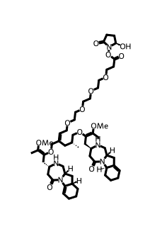 CO/C(C)=C(/C[C@H]1CC(=O)N2C3=CCCC[C@H]3C[C@H]2CN1)OC/C(=C/COCCOCCOCCOCCC(=O)ON1C(=O)CC[C@H]1O)C[C@@H](C)CO/C(C[C@@H]1CC(=O)N2[C@H](CN1)CC1=CCCC[C@H]12)=C(/C)OC